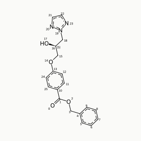 O=C(OCc1ccccc1)c1ccc(OC[C@@H](O)Cn2nccn2)cc1